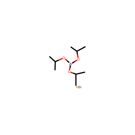 Br.CC(C)[O][Zr]([O]C(C)C)[O]C(C)C